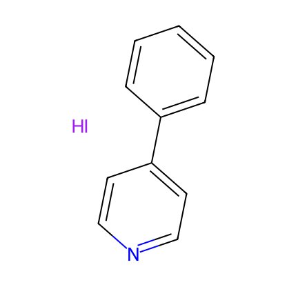 I.c1ccc(-c2ccncc2)cc1